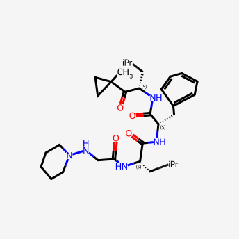 CC(C)C[C@H](NC(=O)CNN1CCCCC1)C(=O)N[C@@H](Cc1ccccc1)C(=O)N[C@@H](CC(C)C)C(=O)C1(C)CC1